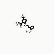 CN1CCCC1CCOc1ccc(C(F)(F)F)cc1C(N)=O